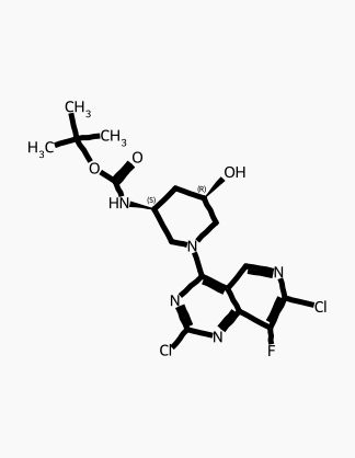 CC(C)(C)OC(=O)N[C@H]1C[C@@H](O)CN(c2nc(Cl)nc3c(F)c(Cl)ncc23)C1